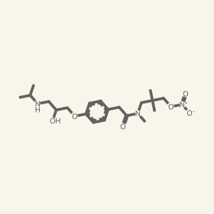 CC(C)NCC(O)COc1ccc(CC(=O)N(C)CC(C)(C)CO[N+](=O)[O-])cc1